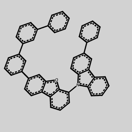 c1ccc(-c2cccc(-c3cccc(-c4ccc5c(c4)oc4c(-n6c7ccccc7c7cc(-c8ccccc8)ccc76)cccc45)c3)c2)cc1